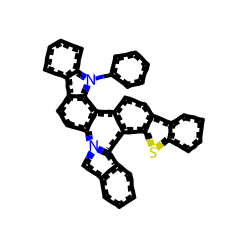 c1ccc(-n2c3ccccc3c3ccc4c(c5ccc6c7ccccc7sc6c5c5c6ccccc6cn45)c32)cc1